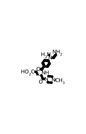 CN1CCN(C(=O)[C@H](CCC(=O)O)NC(=O)c2ccc(N(N)/C=C\N)cc2)CC1